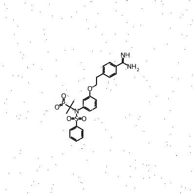 CC(C)(N(c1cccc(OCCc2ccc(C(=N)N)cc2)c1)S(=O)(=O)c1ccccc1)P(=O)=O